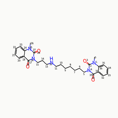 Cn1c(=O)n(CCCCCCCNCCCn2c(=O)c3ccccc3n(C)c2=O)c(=O)c2ccccc21